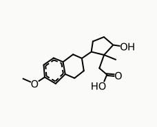 COc1ccc2c(c1)CCC(C1CCC(O)C1(C)CC(=O)O)C2